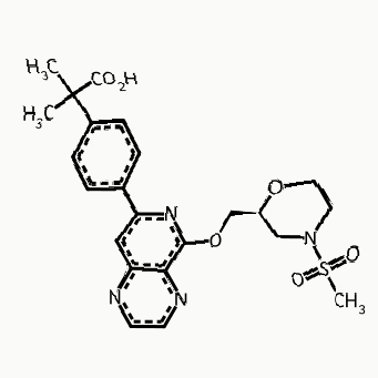 CC(C)(C(=O)O)c1ccc(-c2cc3nccnc3c(OC[C@@H]3CN(S(C)(=O)=O)CCO3)n2)cc1